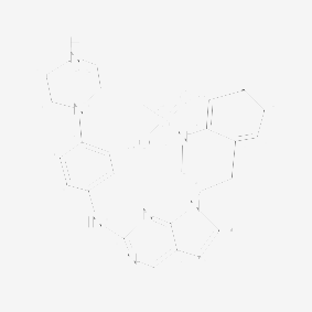 C[C@@H]1CN(c2ccc(Nc3ncc4ccn(CCc5ccccc5N(C)S(C)(=O)=O)c4n3)cc2)CCN1